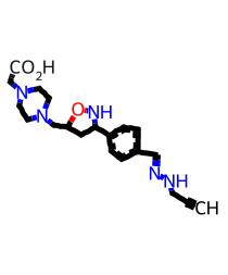 C#CCNN=Cc1ccc(C2CC(CN3CCN(CC(=O)O)CC3)ON2)cc1